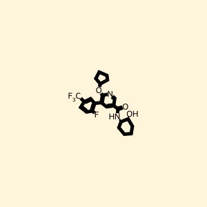 O=C(N[C@@H]1CCCC[C@H]1O)c1cnc(OC2CCCC2)c(-c2cc(C(F)(F)F)ccc2F)c1